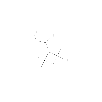 CCC(C)N1C(C)(C)CC1(C)C